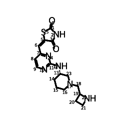 O=C1NC(=O)/C(=C\c2ccnc(N[C@H]3CCCN(CC4CCN4)C3)n2)S1